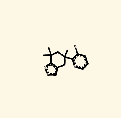 CC1(C)CC(C)(c2ncccc2Br)Cc2cnoc21